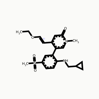 CCO/C=C/c1cc(=O)n(C)cc1-c1cc(S(C)(=O)=O)ccc1NCC1CC1